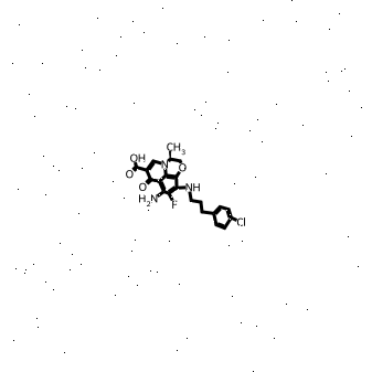 C[C@H]1COc2c(NCCCc3ccc(Cl)cc3)c(F)c(N)c3c(=O)c(C(=O)O)cn1c23